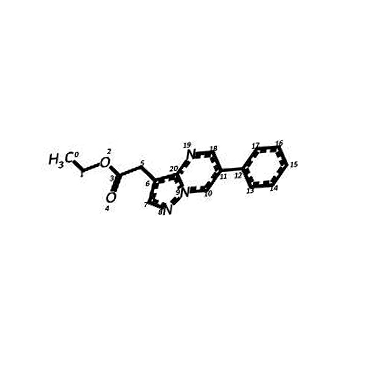 CCOC(=O)Cc1cnn2cc(-c3ccccc3)cnc12